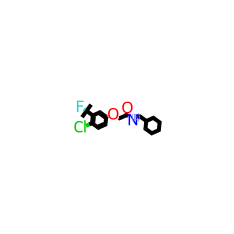 CC(C)(F)c1cc(OCC(=O)/N=C/C2CCCCC2)ccc1Cl